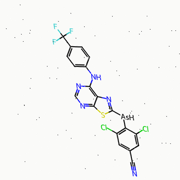 N#Cc1cc(Cl)c([AsH]c2nc3c(Nc4ccc(C(F)(F)F)cc4)ncnc3s2)c(Cl)c1